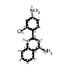 Nc1nc(-c2ccc([N+](=O)[O-])cc2Cl)nc2ccccc12